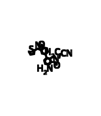 C=C(C#N)CN1Cc2c(-c3ccc4onc(-c5cccs5)c4c3)ccc(N)c2C1=O